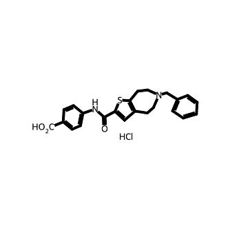 Cl.O=C(O)c1ccc(NC(=O)c2cc3c(s2)CCN(Cc2ccccc2)CC3)cc1